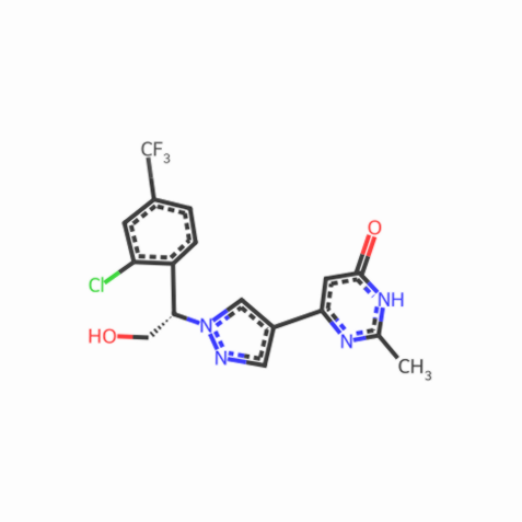 Cc1nc(-c2cnn([C@H](CO)c3ccc(C(F)(F)F)cc3Cl)c2)cc(=O)[nH]1